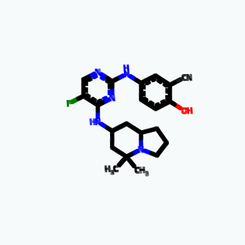 CC1(C)CC(Nc2nc(Nc3ccc(O)c(C#N)c3)ncc2F)CC2CCCN21